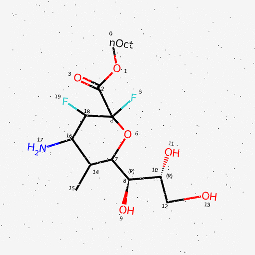 CCCCCCCCOC(=O)C1(F)OC([C@H](O)[C@H](O)CO)C(C)C(N)C1F